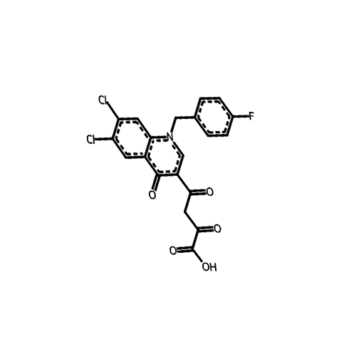 O=C(O)C(=O)CC(=O)c1cn(Cc2ccc(F)cc2)c2cc(Cl)c(Cl)cc2c1=O